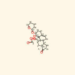 CC(=O)O.C[C@]12CCC3C(CC=C4CCC(OC5CCCCO5)C[C@@]43CO)C1CCC2=O